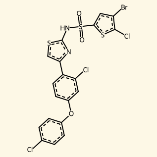 O=S(=O)(Nc1nc(-c2ccc(Oc3ccc(Cl)cc3)cc2Cl)cs1)c1cc(Br)c(Cl)s1